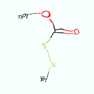 CC[CH]OC(=O)SSC(C)C